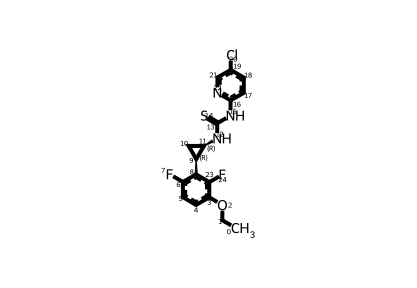 CCOc1ccc(F)c([C@H]2C[C@H]2NC(=S)Nc2ccc(Cl)cn2)c1F